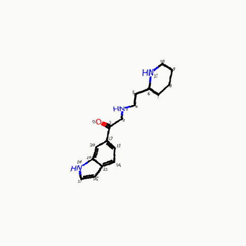 O=C(CNCCC1CCCCN1)c1ccc2[c]c[nH]c2c1